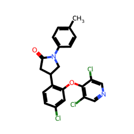 Cc1ccc(N2CC(c3ccc(Cl)cc3Oc3c(Cl)cncc3Cl)CC2=O)cc1